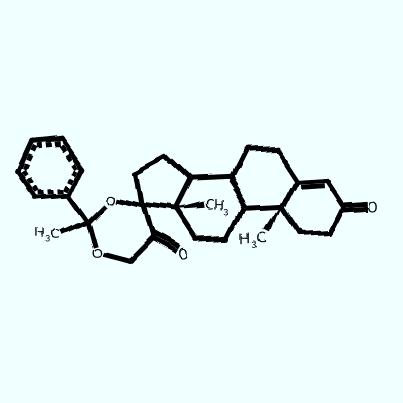 CC1(c2ccccc2)OCC(=O)C2(CCC3C4CCC5=CC(=O)CC[C@]5(C)C4CC[C@@]32C)O1